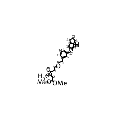 COC(CN(C)C(=O)CCOCCc1cccc(CN2CC3CCC[C@@H]3C2)c1)OC